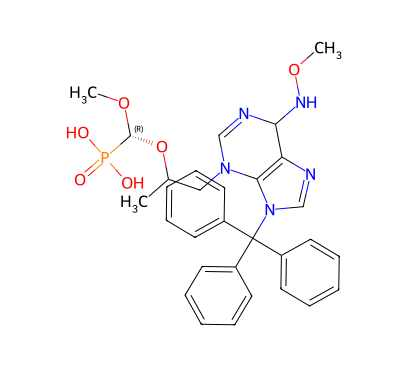 CONC1N=CN(CC(C)O[C@@H](OC)P(=O)(O)O)c2c1ncn2C(c1ccccc1)(c1ccccc1)c1ccccc1